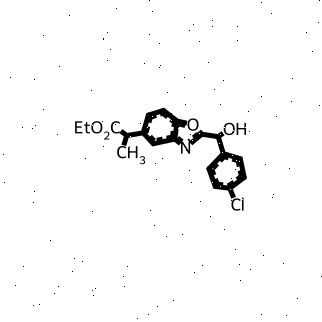 CCOC(=O)C(C)c1ccc2oc(C(O)c3ccc(Cl)cc3)nc2c1